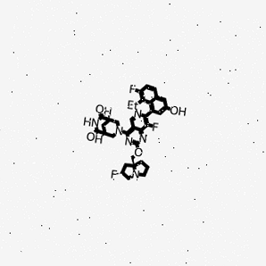 CCc1c(F)ccc2cc(O)cc(-c3ncc4c(N5C[C@H]6C[C@@H](C5)C(=O)NC6=O)nc(OC[C@@]56CCCN5C[C@H](F)C6)nc4c3F)c12